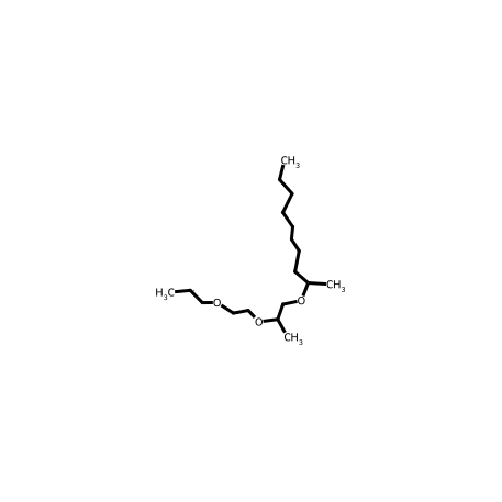 C[CH]COCCOC(C)COC(C)CCCCCCCC